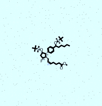 CCCCCC(O[Si](C)(C)C(C)(C)C)c1ccc([C@@H]2[C@@H](C/C=C\CCCC(=O)OC)[C@H](F)C[C@H]2O[Si](C)(C)C(C)(C)C)cc1